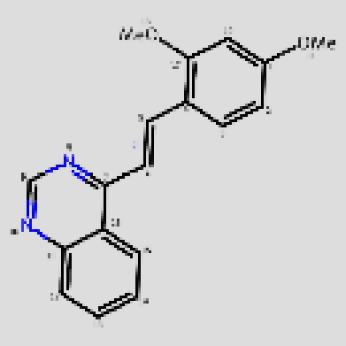 COc1ccc(/C=C/c2ncnc3ccccc23)c(OC)c1